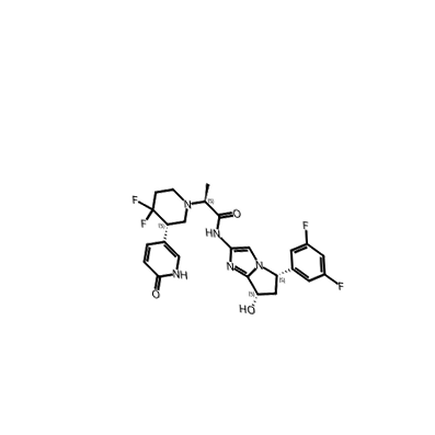 C[C@@H](C(=O)Nc1cn2c(n1)[C@@H](O)C[C@H]2c1cc(F)cc(F)c1)N1CCC(F)(F)[C@@H](c2ccc(=O)[nH]c2)C1